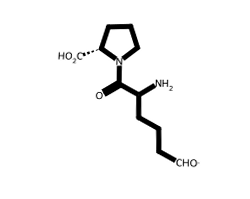 NC(CCC[C]=O)C(=O)N1CCC[C@H]1C(=O)O